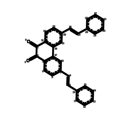 O=C1C(=O)c2ccc(C=Cc3ccccc3)cc2-c2cc(C=Cc3ccccc3)ccc21